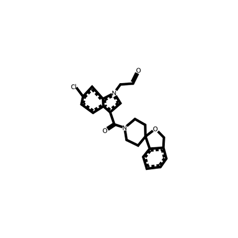 O=CCn1cc(C(=O)N2CCC3(CC2)OCc2ccccc23)c2ccc(Cl)cc21